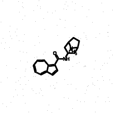 CN1C2CCC1CC(NC(=O)c1ccc3cccccc1-3)C2